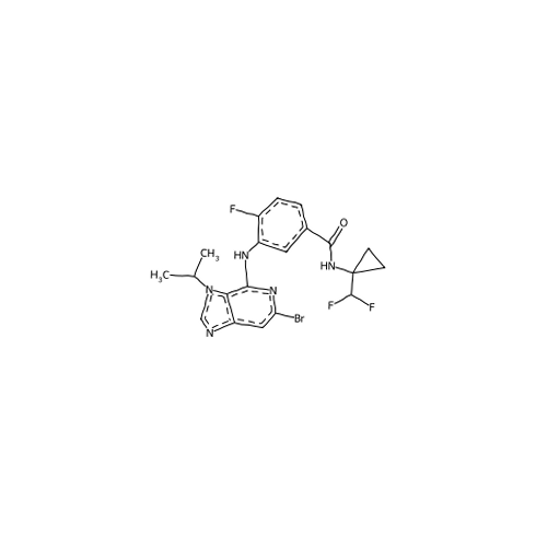 CC(C)n1cnc2cc(Br)nc(Nc3cc(C(=O)NC4(C(F)F)CC4)ccc3F)c21